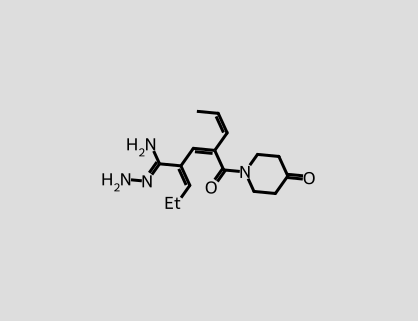 C\C=C/C(=C/C(=C/CC)C(/N)=N/N)C(=O)N1CCC(=O)CC1